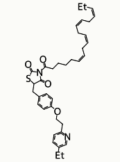 CC/C=C\C/C=C\C/C=C\C/C=C\CCCCC(=O)N1C(=O)SC(Cc2ccc(OCCc3ccc(CC)cn3)cc2)C1=O